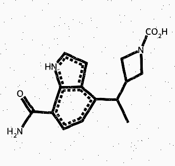 CC(c1ccc(C(N)=O)c2[nH]ccc12)C1CN(C(=O)O)C1